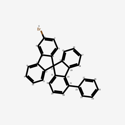 Brc1ccc2c(c1)-c1ccccc1C21c2ccccc2-c2c(-c3ccccc3)cccc21